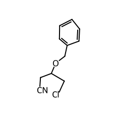 N#CCC(CCl)OCc1ccccc1